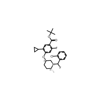 C[C@@H]1CC[C@@H](Oc2cc(F)c(C(=O)OC(C)(C)C)cc2C2CC2)CN1C(F)c1ccccc1Cl